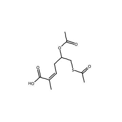 CC(=O)OC(CC=C(C)C(=O)O)CSC(C)=O